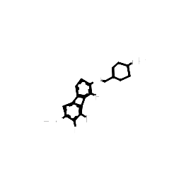 CCCC1CCC(COc2ccc3c(c2F)-c2c-3cc(C)c(F)c2F)CC1